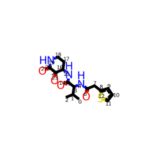 CC(C)C(NC(=O)Cc1cccs1)C(=O)NC1CCNC(=O)C1=O